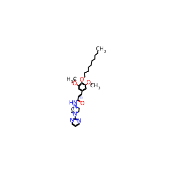 CCCCCCCCCCOc1c(OC)cc(/C=C/C(=O)NN2CCN(c3ncccn3)CC2)cc1OC